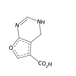 O=C(O)c1coc2c1CNC=N2